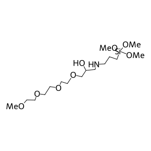 COCCOCCOCCOCC(O)CNCCC[Si](OC)(OC)OC